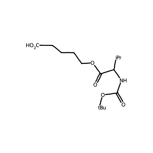 CC(C)C(NC(=O)OC(C)(C)C)C(=O)OCCCCC(=O)O